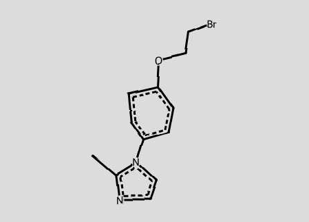 Cc1nccn1-c1ccc(OCCBr)cc1